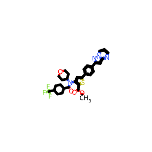 COC(=O)c1sc(-c2ccc(-c3cc4ncccn4n3)cc2)cc1N(C(=O)C1CCC(C(F)(F)F)CC1)C1CCOCC1